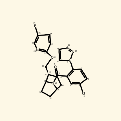 O=C(c1cc(Cl)ccc1-n1ccnn1)N1C2CCC1[C@@H](COc1ccc(F)cn1)CC2